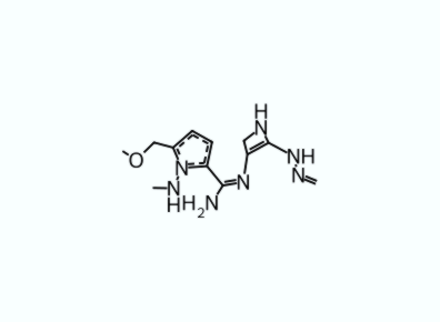 C=NNC1=C(/N=C(/N)c2ccc(COC)n2NC)CN1